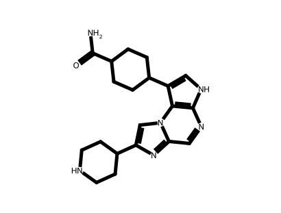 NC(=O)C1CCC(c2c[nH]c3ncc4nc(C5CCNCC5)cn4c23)CC1